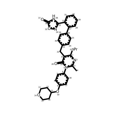 CCCc1nc(C)n(-c2ccc(OC3CCOCC3)cc2)c(=O)c1Cc1ccc(-c2ccccc2-c2noc(=O)[nH]2)cc1